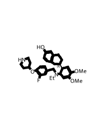 CCN(Cc1ccc(OC2CCNCC2)c(F)c1)C1C=C(OC)C(OC)=CC1[C@@H]1CCc2cc(O)ccc2C1